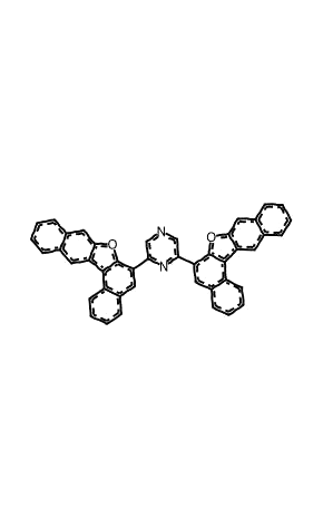 c1ccc2cc3c(cc2c1)oc1c(-c2cncc(-c4cc5ccccc5c5c4oc4cc6ccccc6cc45)n2)cc2ccccc2c13